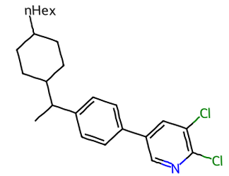 CCCCCCC1CCC(C(C)c2ccc(-c3cnc(Cl)c(Cl)c3)cc2)CC1